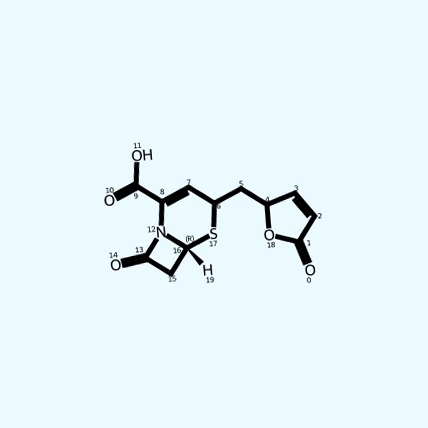 O=C1C=CC(CC2C=C(C(=O)O)N3C(=O)C[C@H]3S2)O1